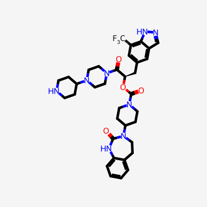 O=C(O[C@H](Cc1cc(C(F)(F)F)c2[nH]ncc2c1)C(=O)N1CCN(C2CCNCC2)CC1)N1CCC(N2CCc3ccccc3NC2=O)CC1